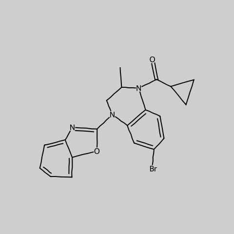 CC1CN(c2nc3ccccc3o2)c2cc(Br)ccc2N1C(=O)C1CC1